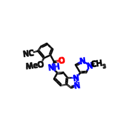 COc1c(C#N)cccc1C(=O)Nc1ccc2cnn(-c3cnn(C)c3)c2c1